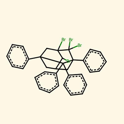 BrC1C2CC3(c4ccccc4)CC1(Br)C(Br)(Br)C(c1ccccc1)(C2)C3(c1ccccc1)c1ccccc1